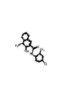 Cc1cc(Cl)ccc1NC(=O)c1cc2ccccc2c(N)c1O